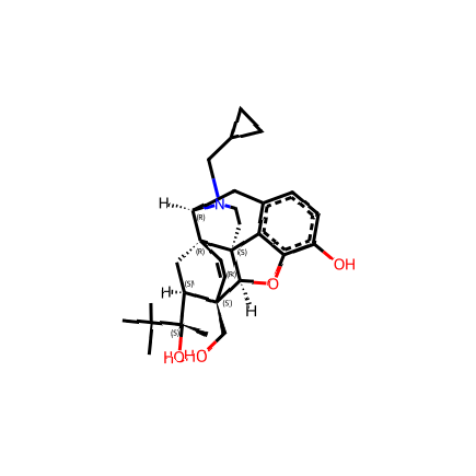 CC(C)(C)[C@@](C)(O)[C@H]1C[C@@]23C=C[C@]1(CO)[C@@H]1Oc4c(O)ccc5c4[C@@]12CCN(CC1CC1)[C@@H]3C5